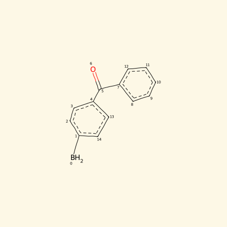 Bc1ccc(C(=O)c2ccccc2)cc1